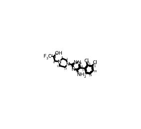 Nc1nc(N2CCN(C[C@H](O)C(F)(F)F)CC2)nnc1-c1cccc(Cl)c1Cl